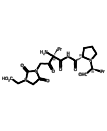 CC(C)[C@@H](C=O)N1CCC[C@H]1C(=O)NC(=O)[C@](N)(C(=O)CN1C(=O)CN(CC(=O)O)C1=O)C(C)C